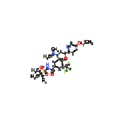 CCOc1ccc(C(CCN(C)C)Oc2ccc(C(=O)NS(=O)(=O)C(C)(C)C)cc2C(F)(F)F)nc1